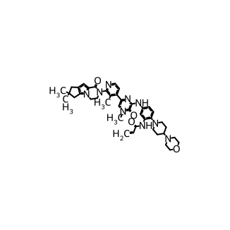 C=CC(=O)Nc1cc(Nc2nc(-c3ccnc(N4CCn5c(cc6c5CC(C)(C)C6)C4=O)c3C)cn(C)c2=O)ccc1N1CCC(N2CCOCC2)CC1